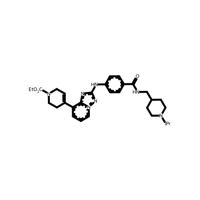 CCOC(=O)N1CC=C(c2cccn3nc(Nc4ccc(C(=O)NCC5CCN(C(C)C)CC5)cc4)nc23)CC1